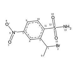 CC(Br)c1cc([N+](=O)[O-])ccc1S(N)(=O)=O